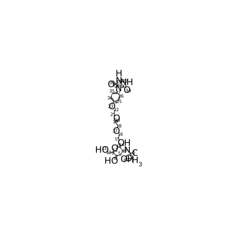 CC(=O)NC1C(O)[C@@H](O)C(CO)O[C@H]1OCCOCCOCCOc1ccc(-n2c(=O)[nH][nH]c2=O)cc1